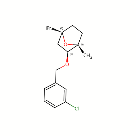 CC(C)[C@@]12CC[C@@](C)(O1)[C@@H](OCc1cccc(Cl)c1)C2